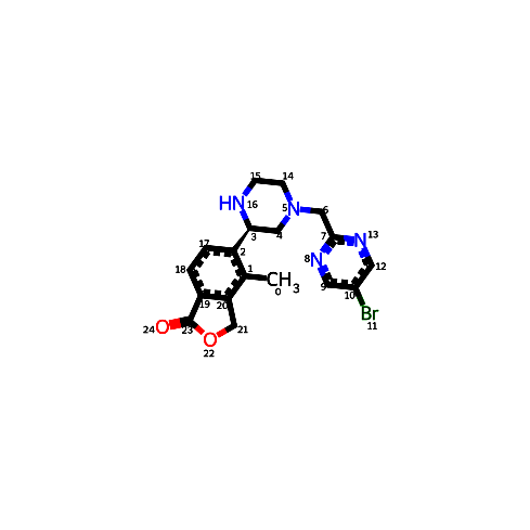 Cc1c([C@@H]2CN(Cc3ncc(Br)cn3)CCN2)ccc2c1COC2=O